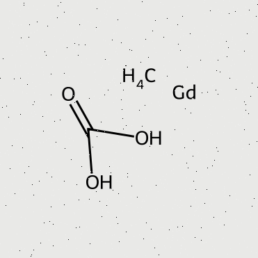 C.O=C(O)O.[Gd]